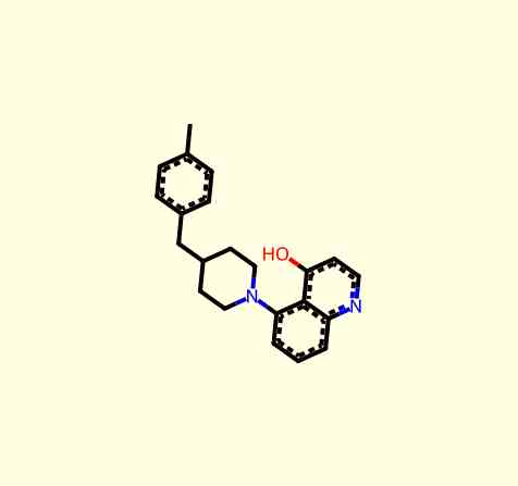 Cc1ccc(CC2CCN(c3cccc4nccc(O)c34)CC2)cc1